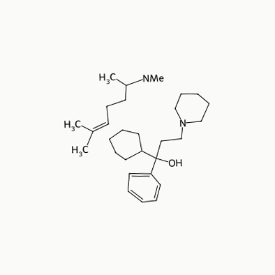 CNC(C)CCC=C(C)C.OC(CCN1CCCCC1)(c1ccccc1)C1CCCCC1